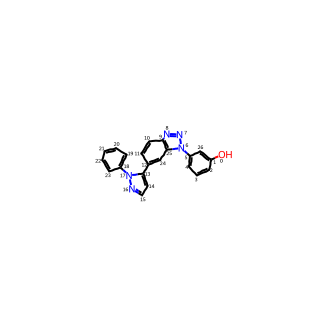 Oc1cccc(-n2nnc3ccc(-c4ccnn4-c4ccccc4)cc32)c1